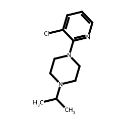 CC(C)N1CCN(c2ncccc2Cl)CC1